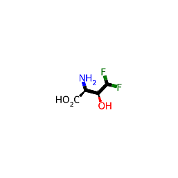 N[C@H](C(=O)O)[C@H](O)C(F)F